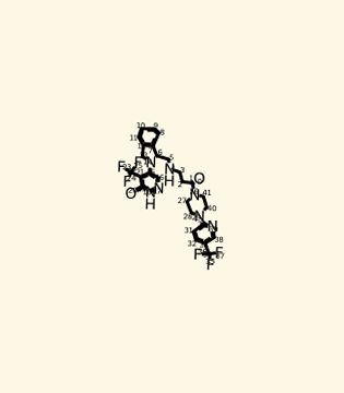 O=C(CCNCC1c2ccccc2CN1c1cn[nH]c(=O)c1C(F)(F)F)N1CCN(c2ccc(C(F)(F)F)cn2)CC1